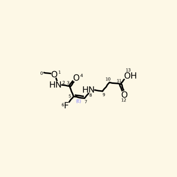 CONC(=O)/C(F)=C\NCCC(=O)O